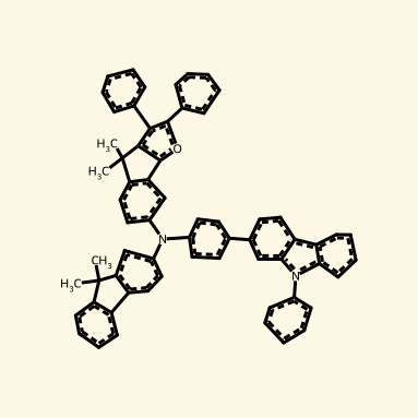 CC1(C)c2ccccc2-c2ccc(N(c3ccc(-c4ccc5c6ccccc6n(-c6ccccc6)c5c4)cc3)c3ccc4c(c3)-c3oc(-c5ccccc5)c(-c5ccccc5)c3C4(C)C)cc21